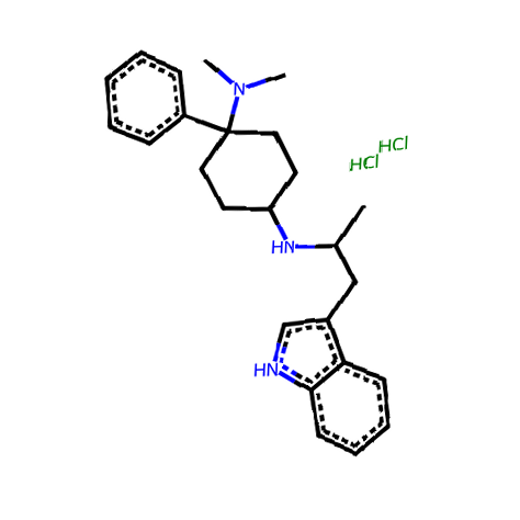 CC(Cc1c[nH]c2ccccc12)NC1CCC(c2ccccc2)(N(C)C)CC1.Cl.Cl